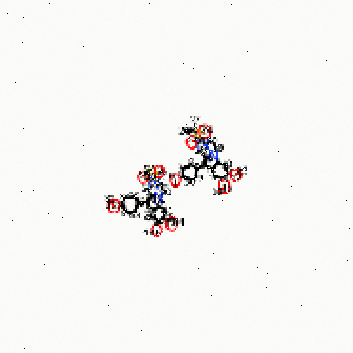 COc1ccc(-c2c3n(c4cc(OC)c(OC)cc24)CCN(S(=O)(=O)C(C)C)C3)cc1.COc1ccc(-c2c3n(c4cc(OC)c(OC)cc24)CCN(S(C)(=O)=O)C3)cc1